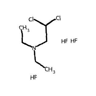 CCN(CC)CC(Cl)Cl.F.F.F